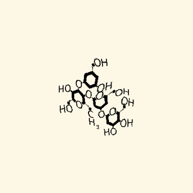 CC[C@@H]1O[C@H](CO)[C@@H](O)[C@H](O[C@H]2C[C@@H](O)C[C@@H](CO)C2)[C@H]1O[C@H]1C[C@@H](O[C@H]2C[C@@H](O)[C@H](O)[C@@H](CO)O2)C[C@@H](CO)O1